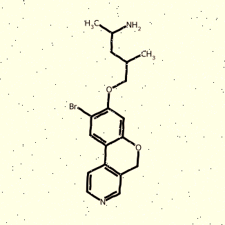 CC(N)CC(C)COc1cc2c(cc1Br)-c1ccncc1CO2